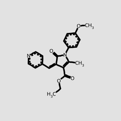 CCOC(=O)C1=C(C)N(c2ccc(OC)cc2)C(=O)C1=Cc1ccncc1